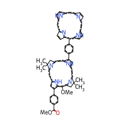 COC(=O)c1ccc(-c2cc3cc4nc(cc5[nH]c(cc6nc(c(OC)c2[nH]3)CC6(C)C)cc5-c2ccc(-c3c5nc(cc6ccc(cc7nc(cc8ccc3[nH]8)C=C7)[nH]6)C=C5)cc2)CC4(C)C)cc1